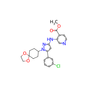 COC(=O)c1ccncc1Nc1cc(-c2cccc(Cl)c2)n(C2CCC3(CC2)OCCO3)n1